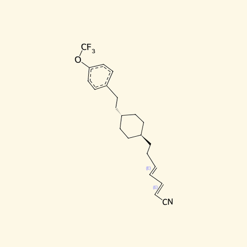 N#C/C=C/C=C/CC[C@H]1CC[C@H](CCc2ccc(OC(F)(F)F)cc2)CC1